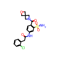 NS(=O)(=O)c1cc(NC(=O)Cc2ccccc2Cl)ccc1C(=O)N1CC2(COC2)C1